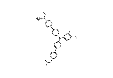 CCc1ccc(N(C2=CC=C(c3ccc(CC(C)C)cc3)CC2)C2C=CC(c3ccc(C(N)CC)cc3)=CC2)cc1C